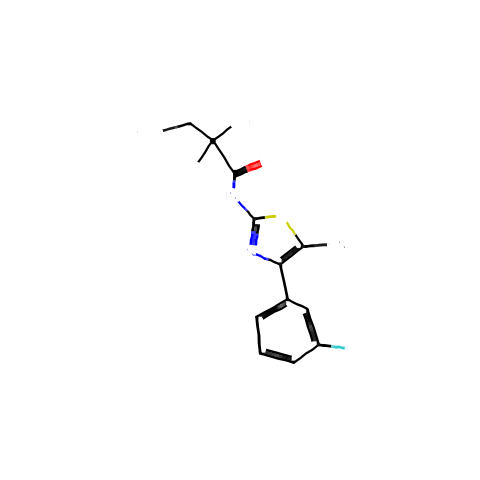 CC(C)(CC(=O)O)C(=O)Nc1nc(-c2cccc(F)c2)c(C#N)s1